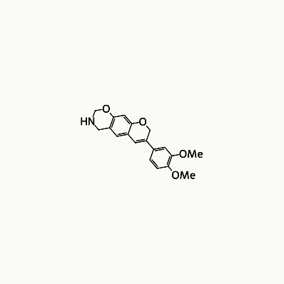 COc1ccc(C2=Cc3cc4c(cc3OC2)OCNC4)cc1OC